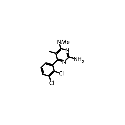 CNc1nc(N)nc(-c2cccc(Cl)c2Cl)c1C